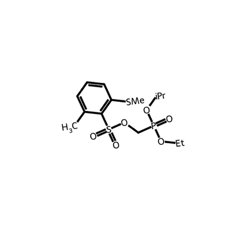 CCOP(=O)(COS(=O)(=O)c1c(C)cccc1SC)OC(C)C